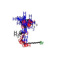 CC[C@H](C)[C@H](N)C(=O)N[C@@H](CCCCNC(=O)CC[C@H](NC(=O)CC[C@H](NC(=O)CCCCCCCCCCCCCCCBr)C(=O)O)C(=O)O)C(=O)N1CCN(c2ccc3ncn(CC(=O)N[C@@H](CCCNC(=N)N)C(=O)N[C@@H](Cc4c[nH]cn4)C(=O)N[C@@H](Cc4ccc(O)cc4)C(=O)N[C@@H](CC(C)C)C(=O)N[C@@H](CC(N)=O)C(=O)N[C@@H](Cc4c[nH]c5ccccc45)C(=O)NC)c(=O)c3c2)CC1